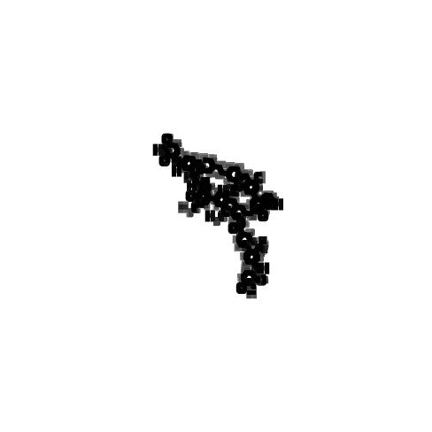 COc1cc(-c2cn(C)c(=O)c3[nH]ncc23)cc(Cl)c1CC1CCN(CC(=O)C2CCN(c3ccc(NC4CCC(=O)NC4=O)cc3C(F)(F)F)CC2)C(Cn2cc(-c3cc(Cl)c(CN4CCC(CCC5CCN(c6ccc(NC7CCC(=O)NC7=O)cc6C(F)(F)F)CC5)CC4)c(OC)c3)c3cn[nH]c3c2=O)C1